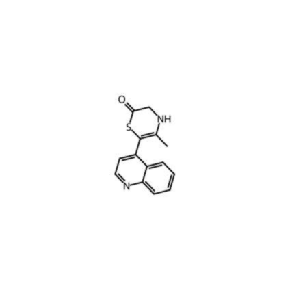 CC1=C(c2ccnc3ccccc23)SC(=O)CN1